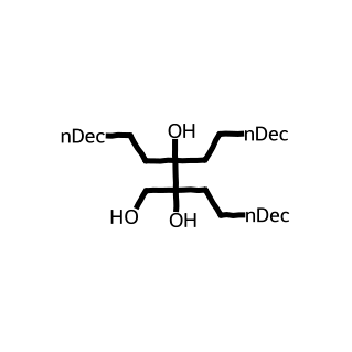 CCCCCCCCCCCCC(O)(CO)C(O)(CCCCCCCCCCCC)CCCCCCCCCCCC